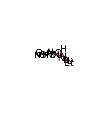 CCC(=O)N1CCC(Nc2cc(C(=O)NC[C@H](O)CN3CCc4cc(OCc5cnco5)ccc4C3)ccn2)CC1